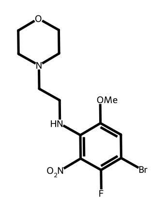 COc1cc(Br)c(F)c([N+](=O)[O-])c1NCCN1CCOCC1